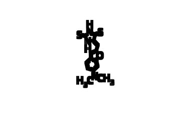 CN(C)c1ccc2cc(/C=C3\NC(=S)NC3=S)oc2c1